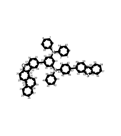 c1ccc(N(c2ccccc2)c2cc(-c3ccc4oc5ccc6c7ccccc7ccc6c5c4c3)cc(N(c3ccccc3)c3ccc(-c4ccc5c(c4)sc4ccccc45)cc3)c2)cc1